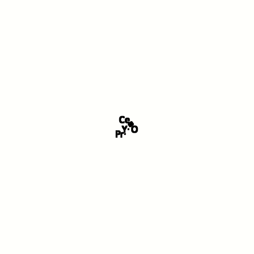 [O]=[Ce].[Pr].[Y]